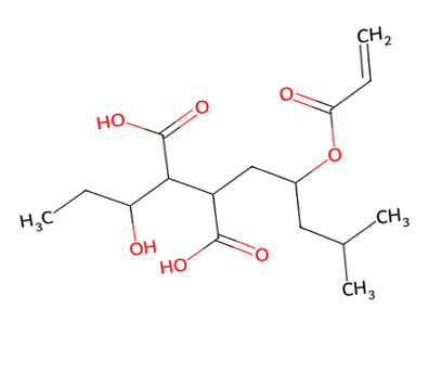 C=CC(=O)OC(CC(C)C)CC(C(=O)O)C(C(=O)O)C(O)CC